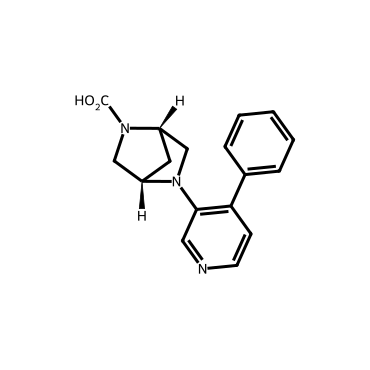 O=C(O)N1C[C@@H]2C[C@H]1CN2c1cnccc1-c1ccccc1